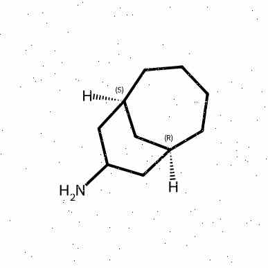 NC1C[C@H]2CCCC[C@@H](C1)C2